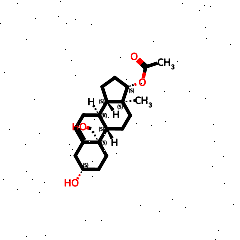 CC(=O)O[C@H]1CC[C@H]2[C@@H]3CC=C4C[C@@H](O)CC[C@]4(CO)[C@H]3CC[C@]12C